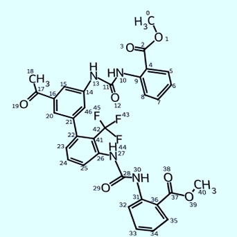 COC(=O)c1ccccc1NC(=O)Nc1cc(C(C)=O)cc(-c2cccc(NC(=O)Nc3ccccc3C(=O)OC)c2C(F)(F)F)c1